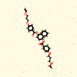 C=COCCCOc1ccc(C(=O)Oc2ccc(OC(=O)c3ccc(OCCCOC=C)cc3)c3ccccc23)cc1